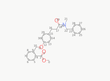 COC(=O)c1ccccc1COc1ccc(CCC(=O)N(C)Cc2ccccc2)cc1